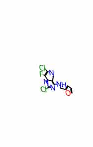 Fc1c(Cl)ncc2c(NCc3ccco3)nc(Cl)nc12